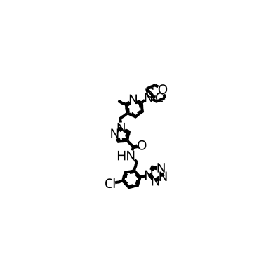 Cc1nc(N2CC3CCCC2CO3)ccc1Cn1cc(C(=O)NCc2cc(Cl)ccc2-n2cnnn2)cn1